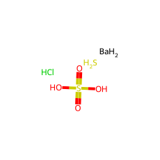 Cl.O=S(=O)(O)O.S.[BaH2]